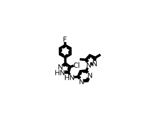 Cc1cc(C)n(-c2cc(Nc3[nH]nc(-c4ccc(F)cc4)c3Cl)ncn2)n1